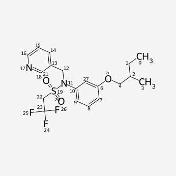 CCC(C)COc1cccc(N(Cc2cccnc2)S(=O)(=O)CC(F)(F)F)c1